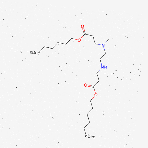 CCCCCCCCCCCCCCCOC(=O)CCNCCN(C)CCC(=O)OCCCCCCCCCCCCCCC